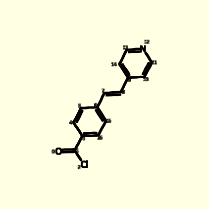 O=C(Cl)c1ccc(/C=C/c2ccncc2)cc1